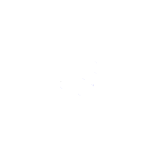 Cc1ccccc1C(=O)N1CCCC(N2CCCC(Nc3nccc(N4CCCCCC4)n3)C2)C1